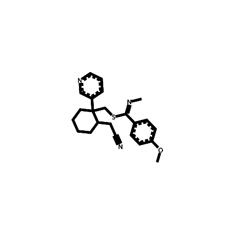 CN=C(SCC1(c2cccnc2)CCCCC1CC#N)c1ccc(OC)cc1